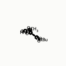 Cn1c(=O)n(C2CCC(=O)NC2=O)c2ccc(C#CC3CCN(C(=O)OC(C)(C)C)CC3)cc21